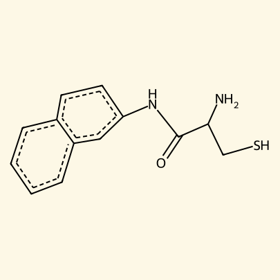 NC(CS)C(=O)Nc1ccc2ccccc2c1